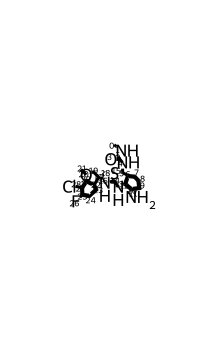 CNC(=O)NCc1cccc(N)c1NC(=S)N[C@](C)(COC)c1ccc(F)c(Cl)c1